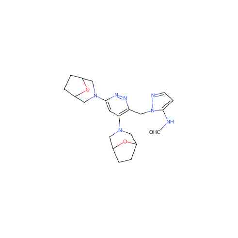 O=CNc1ccnn1Cc1nnc(N2CC3CCC(C2)O3)cc1N1CC2CCC(C1)O2